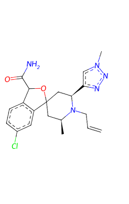 C=CCN1[C@@H](C)CC2(C[C@H]1c1cn(C)nn1)OC(C(N)=O)c1ccc(Cl)cc12